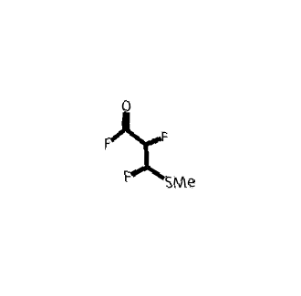 CSC(F)C(F)C(=O)F